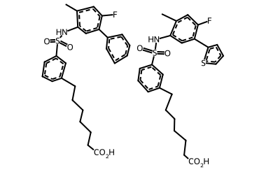 Cc1cc(F)c(-c2ccccc2)cc1NS(=O)(=O)c1cccc(CCCCCCC(=O)O)c1.Cc1cc(F)c(-c2cccs2)cc1NS(=O)(=O)c1cccc(CCCCCCC(=O)O)c1